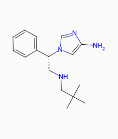 CC(C)(C)CNC[C@H](c1ccccc1)n1cnc(N)c1